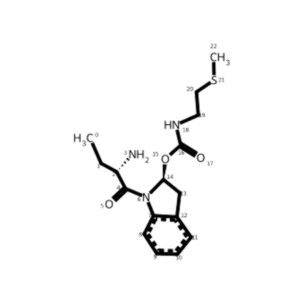 CC[C@H](N)C(=O)N1c2ccccc2C[C@@H]1OC(=O)NCCSC